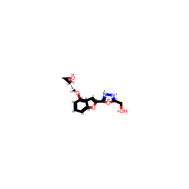 OCc1nnc(-c2cc3c(OC[C@@H]4CO4)cccc3o2)o1